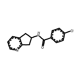 O=C(NC1Cc2cccnc2C1)c1ccc(Cl)cc1